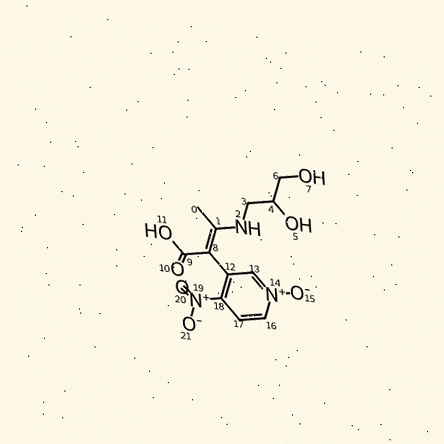 CC(NCC(O)CO)=C(C(=O)O)c1c[n+]([O-])ccc1[N+](=O)[O-]